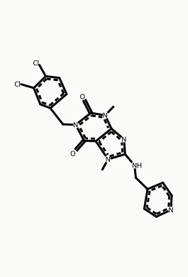 Cn1c(NCc2ccncc2)nc2c1c(=O)n(Cc1ccc(Cl)c(Cl)c1)c(=O)n2C